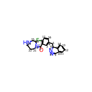 O=C(c1cc(Cc2nncc3ccccc23)ccc1F)N1CCCNCC1